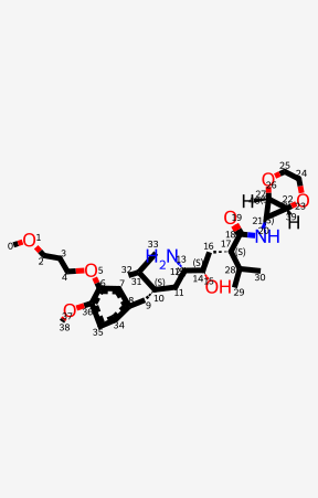 COCCCOc1cc(C[C@@H](C[C@H](N)[C@@H](O)C[C@H](C(=O)N[C@@H]2[C@H]3OCCO[C@@H]23)C(C)C)C(C)C)ccc1OC